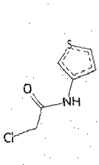 O=C(CCl)Nc1ccsc1